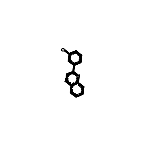 Clc1cccc(-c2c[c]c3ccccc3n2)c1